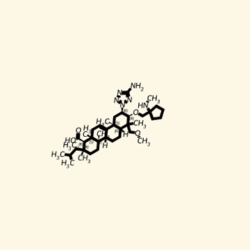 CNC1(CO[C@H]2[C@H](n3nnc(N)n3)C[C@]3(C)C4=CC[C@@]5(C)[C@H](C(=O)O)[C@@](C)([C@H](C)C(C)C)CC[C@]5(C)[C@H]4CC[C@H]3C2(C)COC)CCCC1